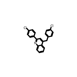 Clc1ccc(Cc2cc(-c3ccc(Cl)cc3)nc3ccccc23)cc1